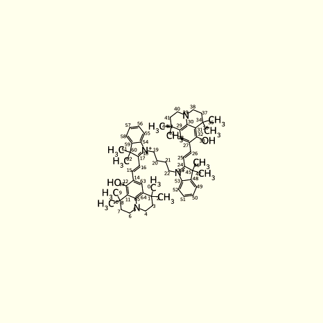 CC1(C)CCN2CCC(C)(C)c3c(O)c(/C=C/C4=[N+](CCCC[N+]5=C(/C=C/c6cc7c8c(c6O)C(C)(C)CCN8CCC7(C)C)C(C)(C)c6ccccc65)c5ccccc5C4(C)C)cc1c32